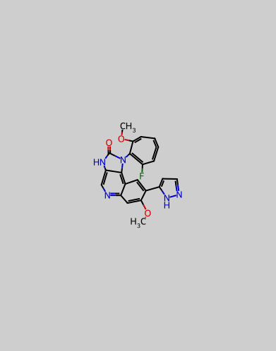 COC1=CC=C=CC(F)=C1n1c(=O)[nH]c2cnc3cc(OC)c(-c4ccn[nH]4)cc3c21